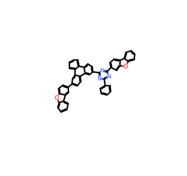 c1ccc(-c2nc(-c3ccc4c(c3)oc3ccccc34)nc(-c3ccc4c5ccccc5c5cc(-c6ccc7oc8ccccc8c7c6)ccc5c4c3)n2)cc1